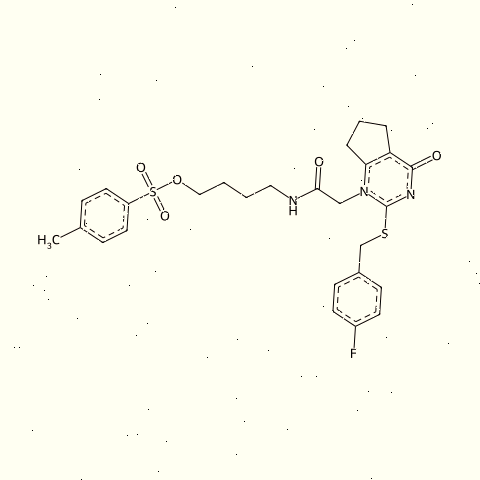 Cc1ccc(S(=O)(=O)OCCCCNC(=O)Cn2c(SCc3ccc(F)cc3)nc(=O)c3c2CCC3)cc1